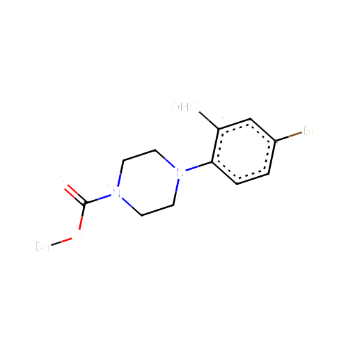 CC(C)(C)OC(=O)N1CCN(c2ccc(Br)cc2C=O)CC1